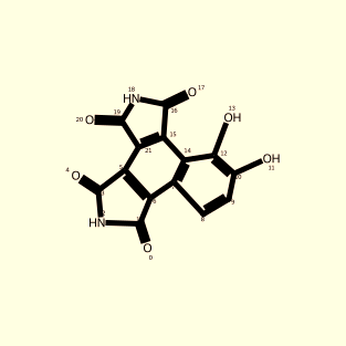 O=c1[nH]c(=O)c2c1c1ccc(O)c(O)c1c1c(=O)[nH]c(=O)c12